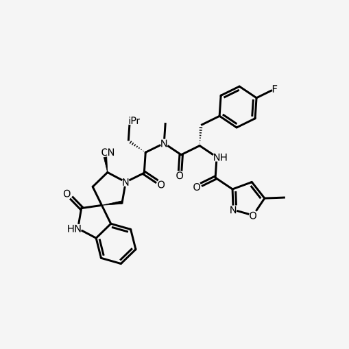 Cc1cc(C(=O)N[C@@H](Cc2ccc(F)cc2)C(=O)N(C)[C@@H](CC(C)C)C(=O)N2C[C@]3(C[C@H]2C#N)C(=O)Nc2ccccc23)no1